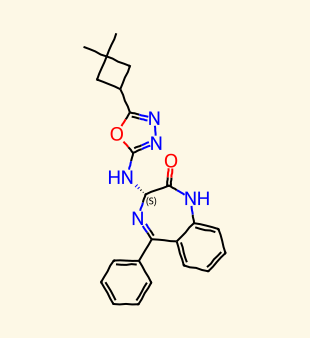 CC1(C)CC(c2nnc(N[C@H]3N=C(c4ccccc4)c4ccccc4NC3=O)o2)C1